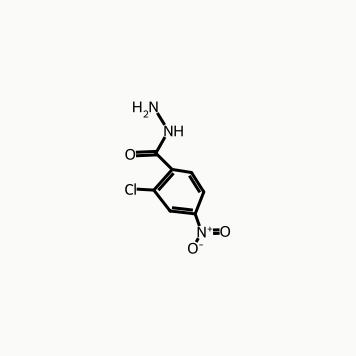 NNC(=O)c1ccc([N+](=O)[O-])cc1Cl